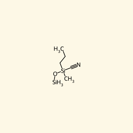 CCC[Si](C)(C#N)O[SiH3]